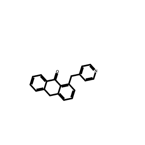 O=C1c2ccccc2Cc2cccc(Cc3ccncc3)c21